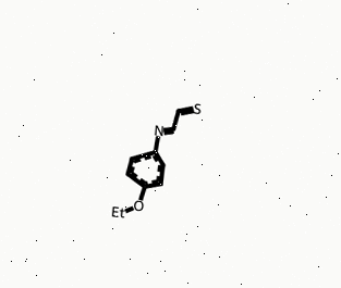 CCOc1ccc(N=CC=S)cc1